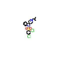 C=C(C)CN1CCC2(CC1)CN(S(=O)(=O)c1ccc(Cl)cc1Cl)c1ccccc12